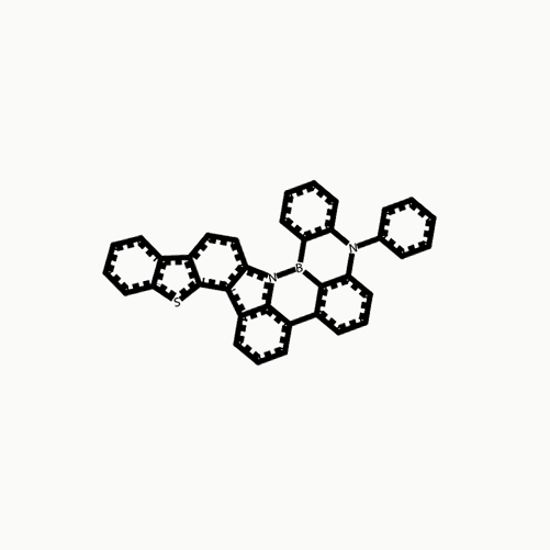 c1ccc(N2c3ccccc3B3c4c(cccc42)-c2cccc4c5c6sc7ccccc7c6ccc5n3c24)cc1